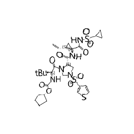 C=C[C@@H]1C[C@]1(NC(=O)[C@@H]1CN(S(=O)(=O)c2ccsc2)CN1C(=O)[C@@H](NC(=O)OC1CCCC1)C(C)(C)C)C(=O)NS(=O)(=O)C1CC1